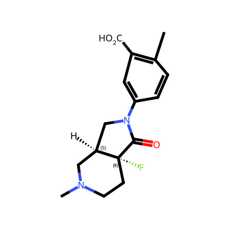 Cc1ccc(N2C[C@@H]3CN(C)CC[C@]3(F)C2=O)cc1C(=O)O